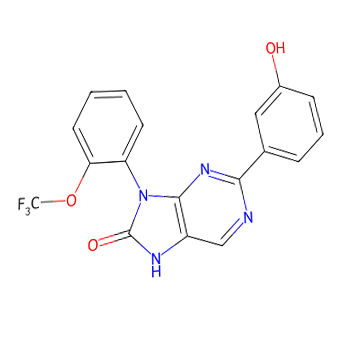 O=c1[nH]c2cnc(-c3cccc(O)c3)nc2n1-c1ccccc1OC(F)(F)F